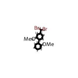 COc1ccccc1-c1ccc(C(Br)Br)cc1OC